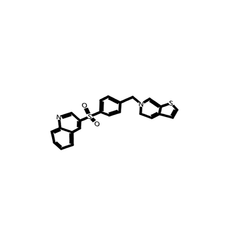 O=S(=O)(c1ccc(CN2C=c3sccc3=CC2)cc1)c1cnc2ccccc2c1